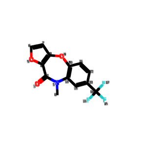 CN1C(=O)c2occc2Oc2ccc(C(F)(F)F)cc21